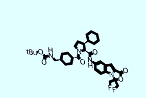 CC(C)(C)OC(=O)NC[C@H]1CC[C@H](C(=O)N2CC[C@@H](C3CCCCC3)[C@H]2C(=O)Nc2ccc3c(c2)cc2n3C(CF)(CF)OC2=O)CC1